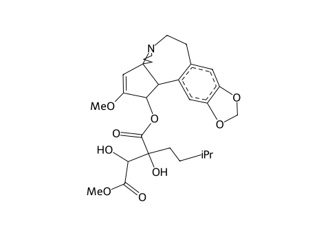 COC(=O)C(O)C(O)(CCC(C)C)C(=O)OC1C(OC)=CC23CCCN2CCc2cc4c(cc2C13)OCO4